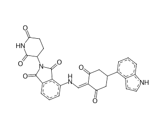 O=C1CCC(N2C(=O)c3cccc(NC=C4C(=O)CC(c5cccc6[nH]ccc56)CC4=O)c3C2=O)C(=O)N1